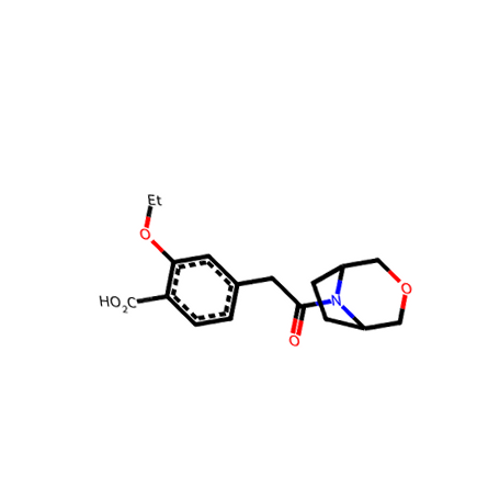 CCOc1cc(CC(=O)N2C3CCC2COC3)ccc1C(=O)O